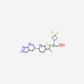 Cc1c([C@H](CO)C2CC(F)(F)C2)sc2nc(-c3cnc4nn(C)cc4c3)ccc12